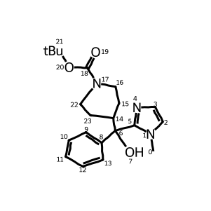 Cn1ccnc1C(O)(c1ccccc1)C1CCN(C(=O)OC(C)(C)C)CC1